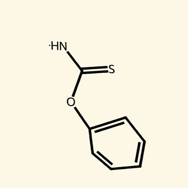 [NH]C(=S)Oc1ccccc1